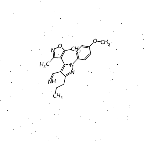 CCCc1nn(-c2ccc(OC)cc2)c(-c2c(C)noc2C)c1C=N